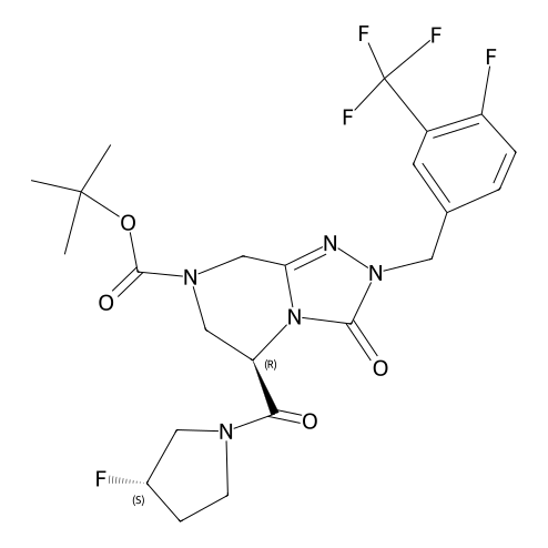 CC(C)(C)OC(=O)N1Cc2nn(Cc3ccc(F)c(C(F)(F)F)c3)c(=O)n2[C@@H](C(=O)N2CC[C@H](F)C2)C1